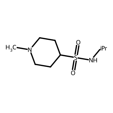 CC(C)NS(=O)(=O)C1CCN(C)CC1